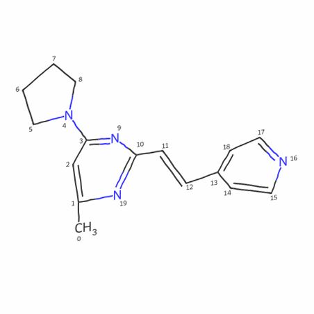 Cc1cc(N2CCCC2)nc(/C=C/c2ccncc2)n1